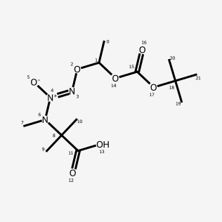 CC(O/N=[N+](\[O-])N(C)C(C)(C)C(=O)O)OC(=O)OC(C)(C)C